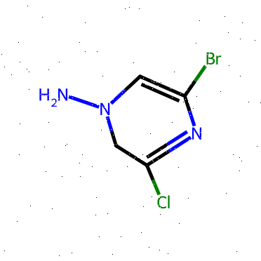 NN1C=C(Br)N=C(Cl)C1